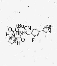 Cc1n[nH]cc1-c1ccc(C[C@@H](C#N)NC(=O)[C@@H]2[C@H]3CC[C@H](C3)N2C(=O)OC(C)(C)C)c(F)c1